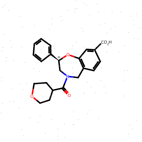 O=C(O)c1ccc2c(c1)O[C@H](c1ccccc1)CN(C(=O)C1CCOCC1)C2